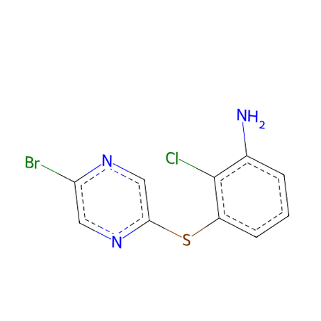 Nc1cccc(Sc2cnc(Br)cn2)c1Cl